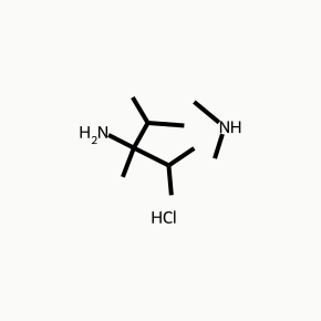 CC(C)C(C)(N)C(C)C.CNC.Cl